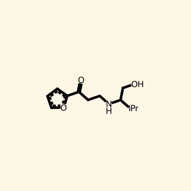 CC(C)C(CO)NCCC(=O)c1ccco1